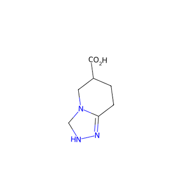 O=C(O)C1CCC2=NNCN2C1